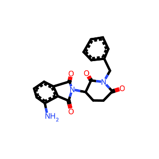 Nc1cccc2c1C(=O)N(C1CCC(=O)N(Cc3ccccc3)C1=O)C2=O